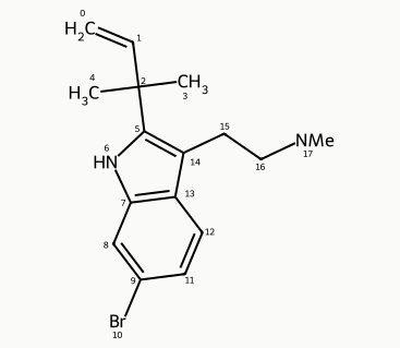 C=CC(C)(C)c1[nH]c2cc(Br)ccc2c1CCNC